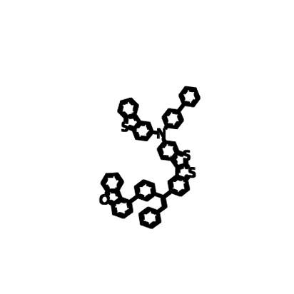 C(=C(/c1cccc(-c2cccc3oc4ccccc4c23)c1)c1ccc2sc3sc4cc(N(c5ccc(-c6ccccc6)cc5)c5ccc6sc7ccccc7c6c5)ccc4c3c2c1)/c1ccccc1